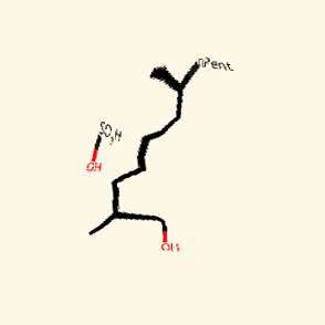 CCCCCC(C)CCCCC(C)CO.O=S(=O)(O)O